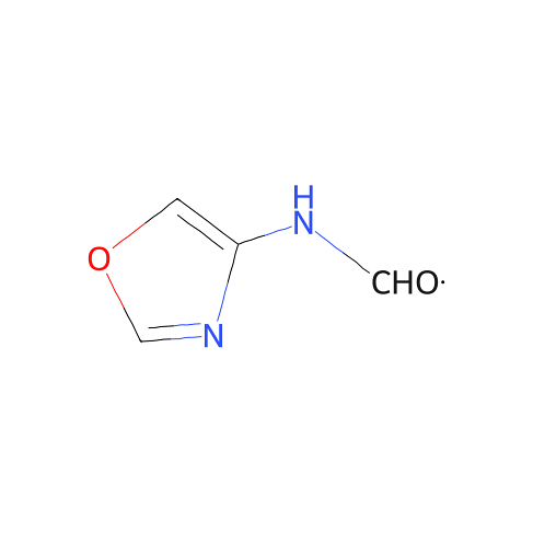 O=[C]Nc1cocn1